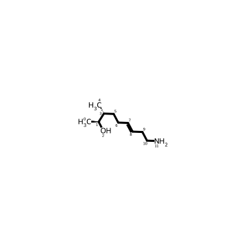 C[C@H](O)[C@H](C)CC/C=C/CCN